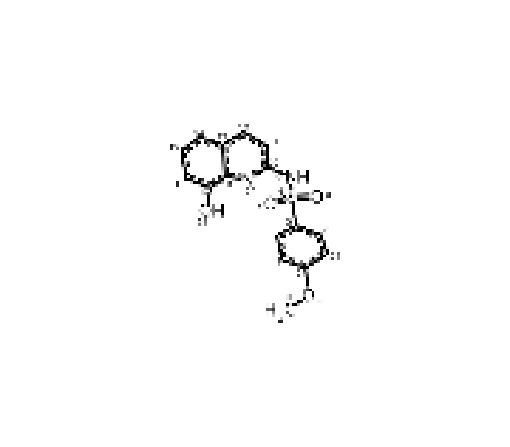 COc1ccc(S(=O)(=O)Nc2ccc3cccc(O)c3n2)cc1